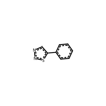 [c]1nnsc1-c1ccccc1